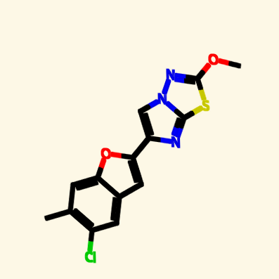 COc1nn2cc(-c3cc4cc(Cl)c(C)cc4o3)nc2s1